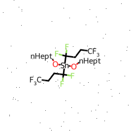 CCCCCCC[O][Sn]([O]CCCCCCC)([C](F)(F)CCC(F)(F)F)[C](F)(F)CCC(F)(F)F